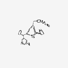 COCc1cc(C(=O)c2cncnc2)sc1Cl